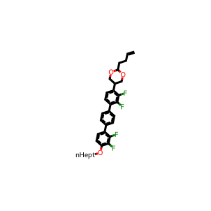 C=CCCC1OCC(c2ccc(-c3ccc(-c4ccc(OCCCCCCC)c(F)c4F)cc3)c(F)c2F)CO1